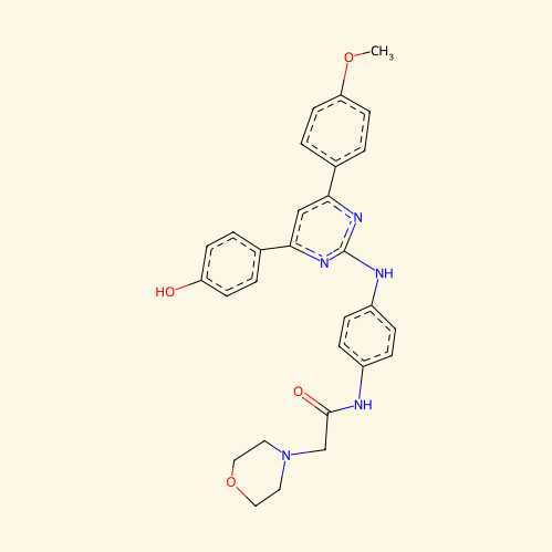 COc1ccc(-c2cc(-c3ccc(O)cc3)nc(Nc3ccc(NC(=O)CN4CCOCC4)cc3)n2)cc1